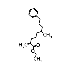 C=C(CCCC(C)CCCc1ccccc1)C(=O)OCC